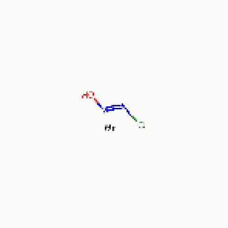 ON=NCl.[Rh]